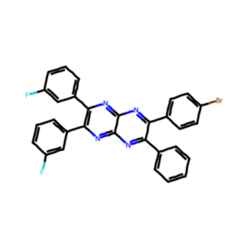 Fc1cccc(-c2nc3nc(-c4ccccc4)c(-c4ccc(Br)cc4)nc3nc2-c2cccc(F)c2)c1